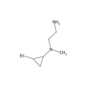 CCC1CC1N(C)CCN